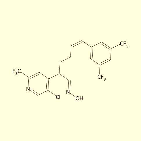 O/N=C/C(CC/C=C\c1cc(C(F)(F)F)cc(C(F)(F)F)c1)c1cc(C(F)(F)F)ncc1Cl